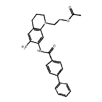 Bc1cc2c(cc1NC(=O)c1ccc(-c3ccccc3)cc1)N(CCOC(C)=O)CCC2